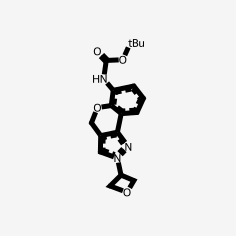 CC(C)(C)OC(=O)Nc1cccc2c1OCc1cn(C3COC3)nc1-2